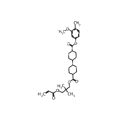 C=CC(=O)OCC(C)(C)COC(=O)C1CCC(C2CCC(C(=O)Oc3ccc(C)c(OC)c3)CC2)CC1